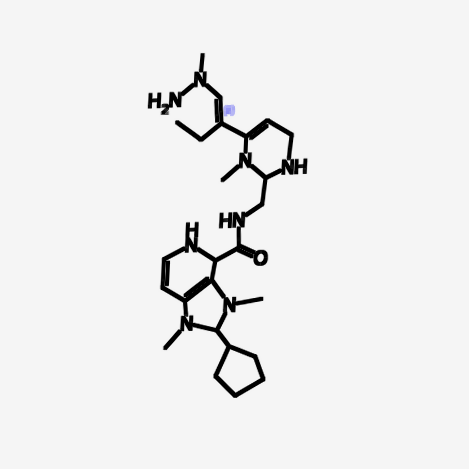 CC/C(=C\N(C)N)C1=CCNC(CNC(=O)C2NC=CC3=C2N(C)C(C2CCCC2)N3C)N1C